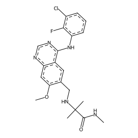 CNC(=O)C(C)(C)NCc1cc2c(Nc3cccc(Cl)c3F)ncnc2cc1OC